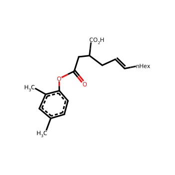 CCCCCC/C=C/CC(CC(=O)Oc1ccc(C)cc1C)C(=O)O